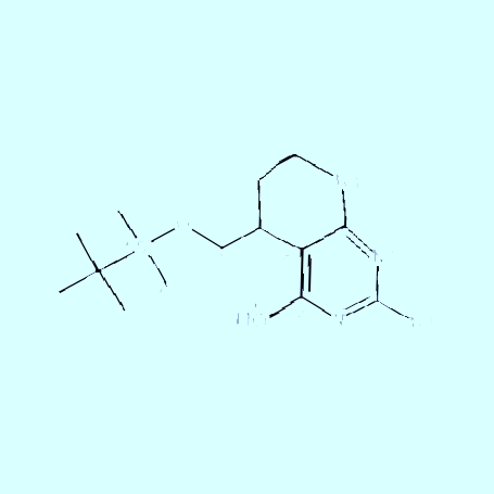 CC(C)(C)[Si](C)(C)OCC1CCNc2nc(N)nc(O)c21